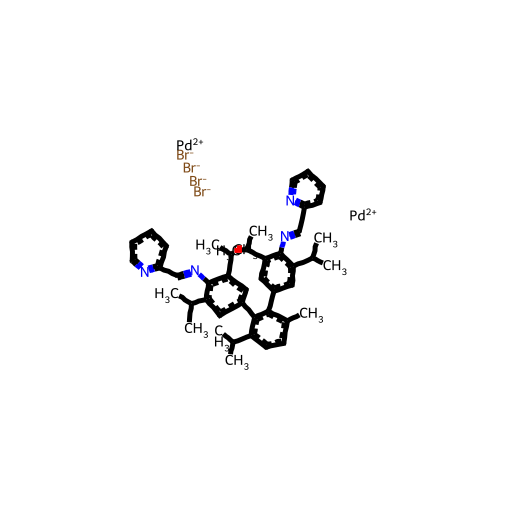 Cc1ccc(C(C)C)c(-c2cc(C(C)C)c(/N=C/c3ccccn3)c(C(C)C)c2)c1-c1cc(C(C)C)c(/N=C/c2ccccn2)c(C(C)C)c1.[Br-].[Br-].[Br-].[Br-].[Pd+2].[Pd+2]